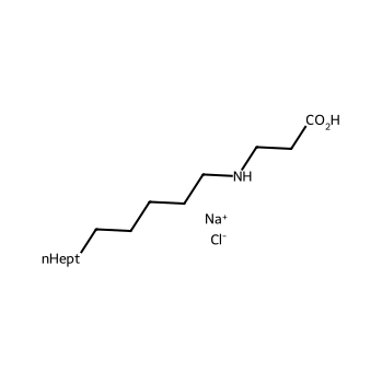 CCCCCCCCCCCCNCCC(=O)O.[Cl-].[Na+]